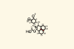 COc1ccc([C@@H](CC(=O)O)N(Cc2ccccc2)[C@@H](C)c2ccccc2)cc1OC